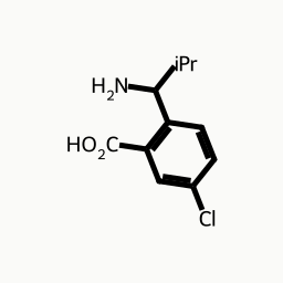 CC(C)C(N)c1ccc(Cl)cc1C(=O)O